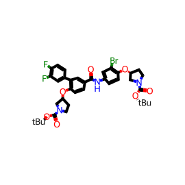 CC(C)(C)OC(=O)N1CCC(Oc2ccc(C(=O)Nc3ccc(O[C@H]4CCN(C(=O)OC(C)(C)C)C4)c(Br)c3)cc2-c2ccc(F)c(F)c2)C1